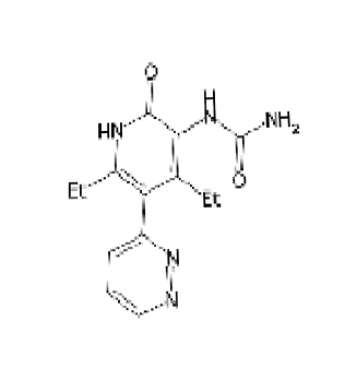 CCc1[nH]c(=O)c(NC(N)=O)c(CC)c1-c1cccnn1